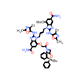 CCc1nc(C)oc1Nc1nc2cc(C(N)=O)cc(OC)c2n1C/C=C/Cn1c(Nc2oc(C)nc2CC)nc2cc(C(N)=O)cc(OCC(=O)N3CC(O[Si](c4ccccc4)(c4ccccc4)C(C)(C)C)C3)c21